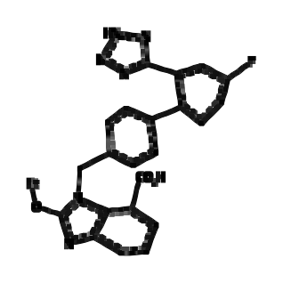 CCOc1nc2cccc(C(=O)O)c2n1Cc1ccc(-c2ccc(F)cc2-c2nn[nH]n2)cc1